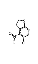 O=[N+]([O-])c1c(Cl)ccc2c1CCS2